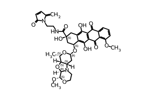 C=C1C=CC(=O)N1CCNC(=O)[C@]1(O)Cc2c(O)c3c(c(O)c2[C@@H](O[C@H]2C[C@H]4[C@H](O[C@@H]5[C@@H](OC)OCCN54)[C@H](C)O2)C1)C(=O)c1c(OC)cccc1C3=O